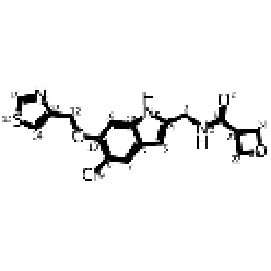 O=C(NCc1cc2cc(Cl)c(OCc3cscn3)cc2[nH]1)C1COC1